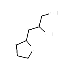 OCC(O)CC1CCCO1